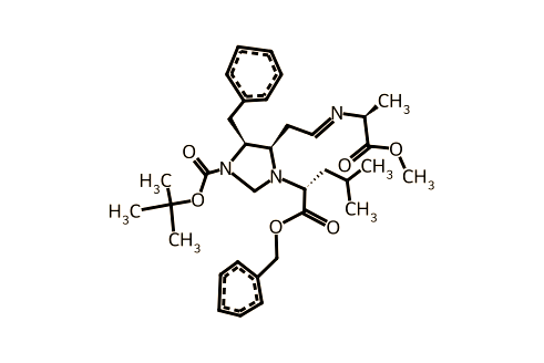 COC(=O)[C@H](C)/N=C/C[C@@H]1[C@H](Cc2ccccc2)N(C(=O)OC(C)(C)C)CN1[C@H](CC(C)C)C(=O)OCc1ccccc1